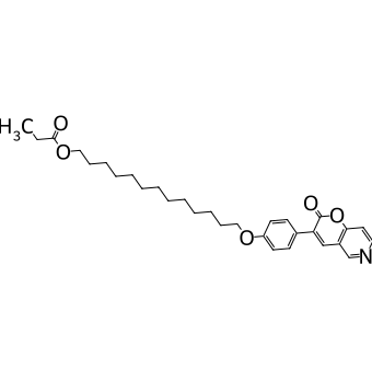 CCC(=O)OCCCCCCCCCCCCCOc1ccc(-c2cc3cnccc3oc2=O)cc1